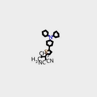 C=C(C)C(c1ccc(-c2ccc(N(c3ccccc3)c3ccccc3)cc2)s1)C(C#N)C#N